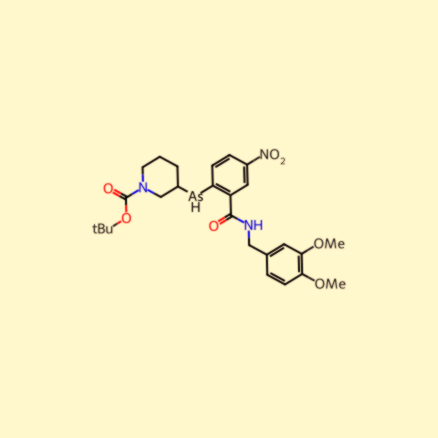 COc1ccc(CNC(=O)c2cc([N+](=O)[O-])ccc2[AsH]C2CCCN(C(=O)OC(C)(C)C)C2)cc1OC